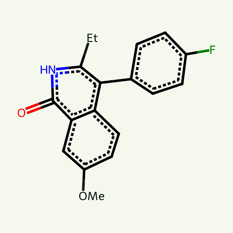 CCc1[nH]c(=O)c2cc(OC)ccc2c1-c1ccc(F)cc1